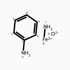 Nc1ccccc1.[NH2][Fe+2].[O-2]